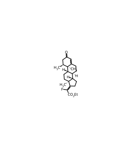 CCOC(=O)C(F)=C1CC[C@H]2[C@@H]3CCC4=CC(=O)C[C@H](C)[C@]4(C)[C@H]3CC[C@]12C